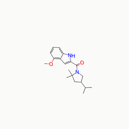 COc1cccc2[nH]c(C(=O)N3CC(C(C)C)CC3(C)C)cc12